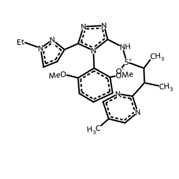 CCn1ccc(-c2nnc(N[S+]([O-])C(C)C(C)c3ncc(C)cn3)n2-c2c(OC)cccc2OC)n1